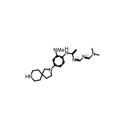 C=C(/N=C\N=C\N(C)C)Nc1ccc(N2CCC3(CCNCC3)C2)cc1NC